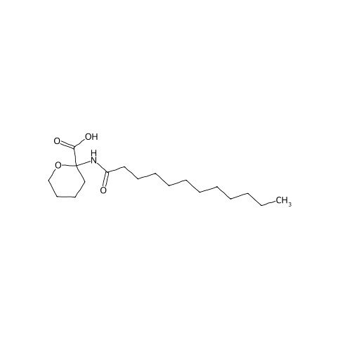 CCCCCCCCCCCC(=O)NC1(C(=O)O)CCCCO1